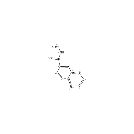 CCCCCCCCNC(=O)c1ccc2ncccc2c1